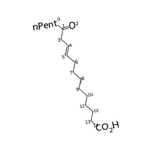 CCCCCC(=O)CC=CCCCCCCCCC(=O)O